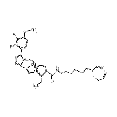 CCc1cc(N/C2=C\C/C=C\C=C3\C(c4ccc(OC)c(F)c4F)=CN=C23)ccc1C(=O)NCCCCCCC1C=NC=CCC1